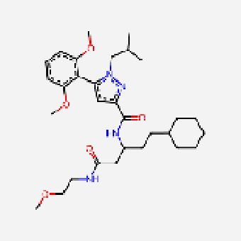 COCCNC(=O)CC(CCC1CCCCC1)NC(=O)c1cc(-c2c(OC)cccc2OC)n(CC(C)C)n1